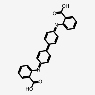 O=C(O)c1ccccc1N=C1C=CC(=C2C=CC(=Nc3ccccc3C(=O)O)C=C2)C=C1